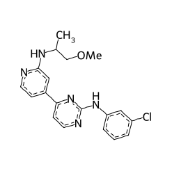 COCC(C)Nc1cc(-c2ccnc(Nc3cccc(Cl)c3)n2)ccn1